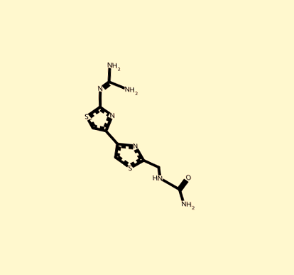 NC(=O)NCc1nc(-c2csc(N=C(N)N)n2)cs1